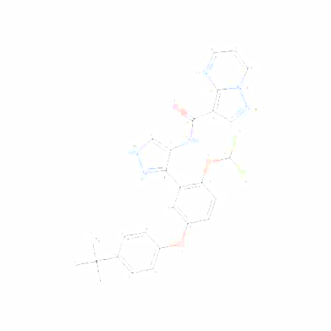 CC(C)(C#N)c1ccc(Oc2ccc(OC(F)F)c(-c3n[nH]cc3NC(=O)c3cnn4cccnc34)c2)cc1